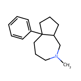 CN1CCCC2(c3ccccc3)CCCC2C1